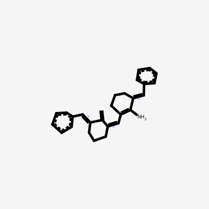 C=C1/C(=C\C2=C(N)C(=C/c3ccccc3)/CCC2)CCC/C1=C\c1ccccc1